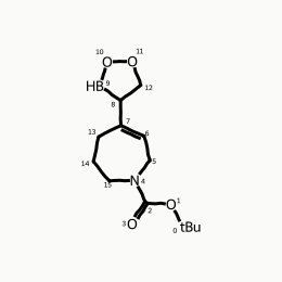 CC(C)(C)OC(=O)N1CC=C(C2BOOC2)CCC1